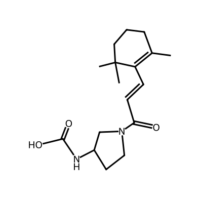 CC1=C(C=CC(=O)N2CCC(NC(=O)O)C2)C(C)(C)CCC1